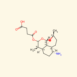 C[C@H]1C(OC(=O)CCC(=O)O)O[C@@H]2O[C@@]3(C)CC[C@H]4[C@H](N)CC[C@@H]1[C@@]24OO3